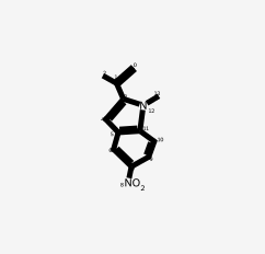 C=C(C)c1cc2cc([N+](=O)[O-])ccc2n1C